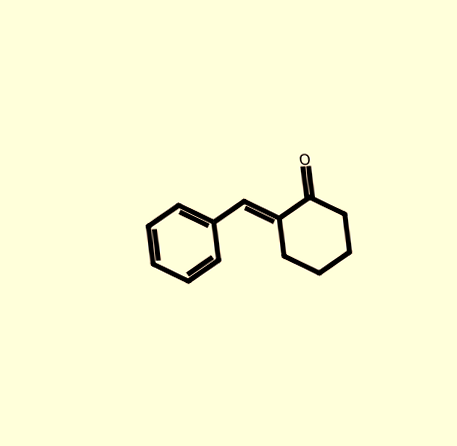 O=C1CCCC/C1=C\c1ccccc1